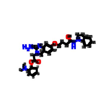 CN(C)c1ccccc1OC(=O)CN1Cc2ccc(OCCCC(=O)NN3CCc4ccccc43)cc2N=C1N